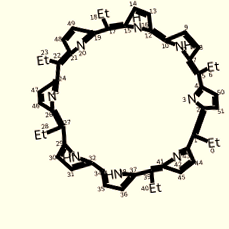 CCc1c2nc(c(CC)c3ccc([nH]3)c3ccc([nH]3)c(CC)c3nc(c(CC)c4nc(c(CC)c5ccc([nH]5)c5ccc([nH]5)c(CC)c5nc1C=C5)C=C4)C=C3)C=C2